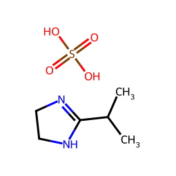 CC(C)C1=NCCN1.O=S(=O)(O)O